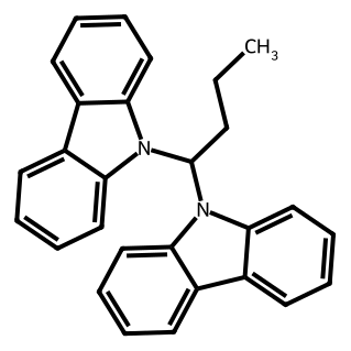 CCCC(n1c2ccccc2c2ccccc21)n1c2ccccc2c2ccccc21